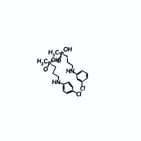 CP(=O)(O)CCCNc1ccc(Cl)cc1.CP(=O)(O)CCCNc1cccc(Cl)c1